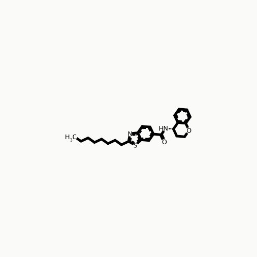 CCCCCCCCc1nc2ccc(C(=O)N[C@H]3CCOc4ccccc43)cc2s1